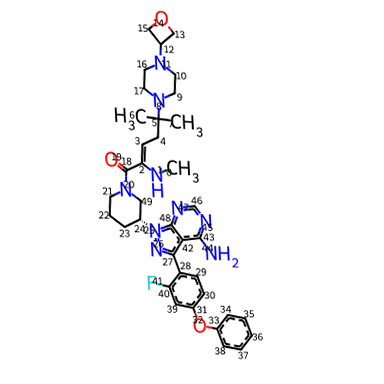 CN/C(=C\CC(C)(C)N1CCN(C2COC2)CC1)C(=O)N1CCC[C@@H](n2nc(-c3ccc(Oc4ccccc4)cc3F)c3c(N)ncnc32)C1